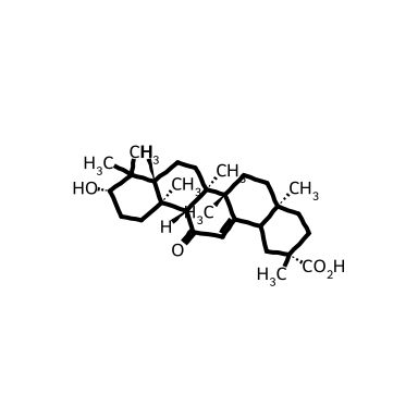 CC1(C)[C@@H](O)CC[C@]2(C)[C@H]3C(=O)C=C4C5C[C@@](C)(C(=O)O)CC[C@]5(C)CC[C@@]4(C)[C@]3(C)CC[C@@H]12